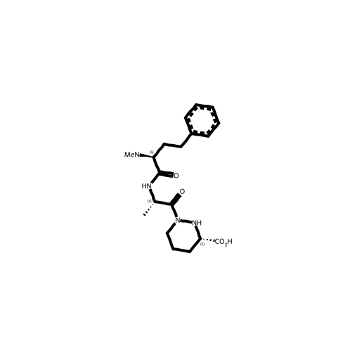 CN[C@@H](CCc1ccccc1)C(=O)N[C@@H](C)C(=O)N1CCC[C@@H](C(=O)O)N1